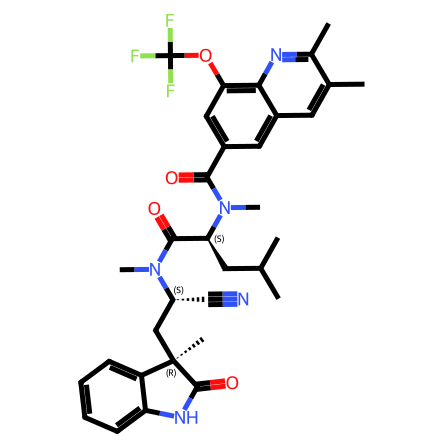 Cc1cc2cc(C(=O)N(C)[C@@H](CC(C)C)C(=O)N(C)[C@H](C#N)C[C@@]3(C)C(=O)Nc4ccccc43)cc(OC(F)(F)F)c2nc1C